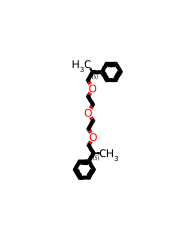 C[C@H](COCCOCCOC[C@@H](C)c1ccccc1)c1ccccc1